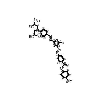 CCCCC(CC)CN(CC(CC)CCCC)c1ccc(/N=N/c2nc(C)c(N=Nc3ccc(C(=O)Oc4ccc(C(C)C)cc4)cc3)s2)cc1